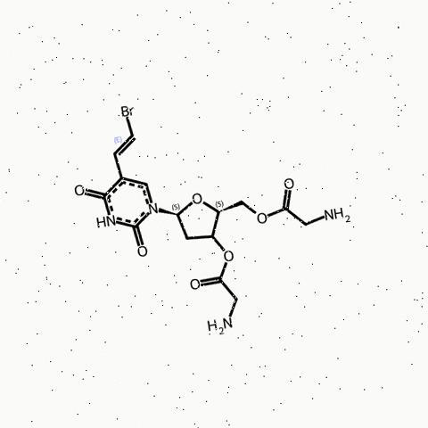 NCC(=O)OC[C@@H]1O[C@H](n2cc(/C=C/Br)c(=O)[nH]c2=O)CC1OC(=O)CN